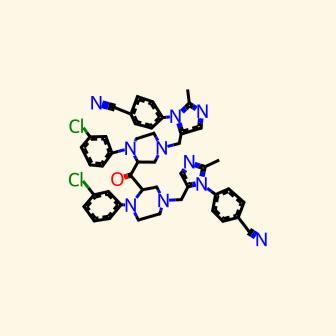 Cc1ncc(CN2CCN(c3cccc(Cl)c3)C(C(=O)C3CN(Cc4cnc(C)n4-c4ccc(C#N)cc4)CCN3c3cccc(Cl)c3)C2)n1-c1ccc(C#N)cc1